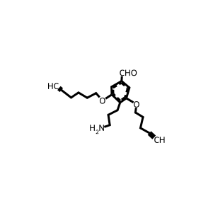 C#CCCCCOc1cc(C=O)cc(OCCCC#C)c1CCCN